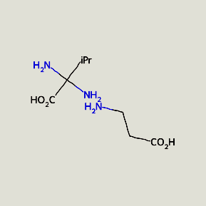 CC(C)C(N)(N)C(=O)O.NCCC(=O)O